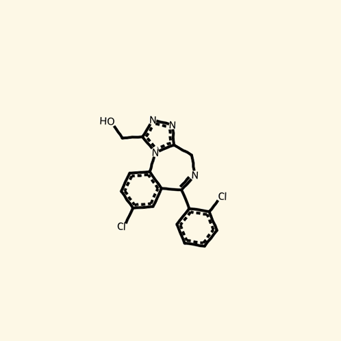 OCc1nnc2n1-c1ccc(Cl)cc1C(c1ccccc1Cl)=NC2